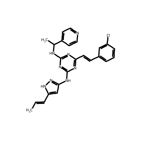 C/C=C/c1cc(Nc2nc(/C=C/c3cccc(Cl)c3)nc(NC(C)c3ccncc3)n2)n[nH]1